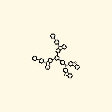 c1ccc(-c2ccc(-n3c4ccccc4c4cc(-c5cc(-c6ccc(N(c7ccc8oc9ccccc9c8c7)c7ccc8oc9ccccc9c8c7)cc6)cc(-c6ccc7c(c6)c6ccccc6n7-c6ccc(-c7ccccc7)cc6)c5)ccc43)cc2)cc1